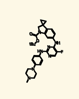 CN1CCN(c2ccc(Nc3ncc(F)c(Nc4ccc5c(c4)N(C(=O)OC(C)(C)C)CC54CC4)n3)cc2)CC1